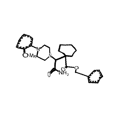 COc1ccccc1N1CCN(C(C(N)=O)C2(C(=O)OCc3ccccc3)CCCCC2)CC1